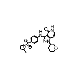 CC1CCN1S(=O)(=O)c1ccc(Nc2nn([C]3CCCOC3)c3cc[nH]c(=O)c23)cc1